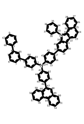 c1ccc(-c2cccc(-c3ccc(N(c4ccc(-c5ccc6c7ccc8ccccc8c7n(-c7ccccc7)c6c5)cc4)c4ccc(-c5cc6ccccc6c6ccccc56)cc4)cc3)c2)cc1